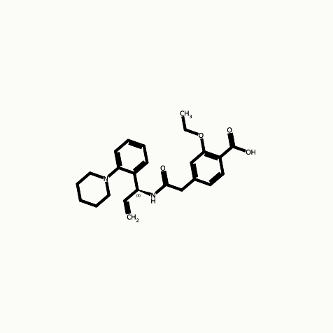 C=C[C@H](NC(=O)Cc1ccc(C(=O)O)c(OCC)c1)c1ccccc1N1CCCCC1